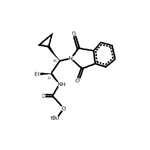 CC[C@H](NC(=O)OC(C)(C)C)[C@@H](C1CC1)N1C(=O)c2ccccc2C1=O